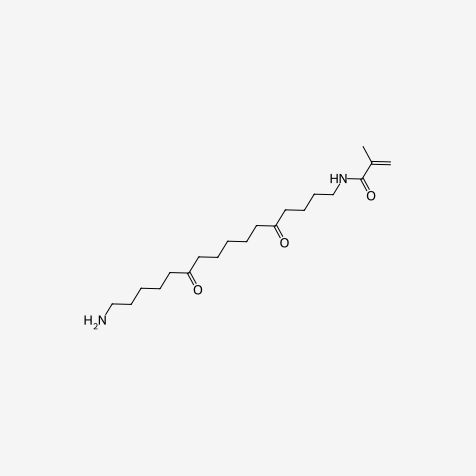 C=C(C)C(=O)NCCCCC(=O)CCCCCC(=O)CCCCCN